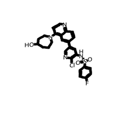 O=S(=O)(Nc1cc(-c2ccc3nccc(N4CCCC(O)CC4)c3c2)cnc1Cl)c1ccc(F)cc1